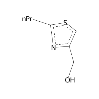 CCCc1nc(CO)cs1